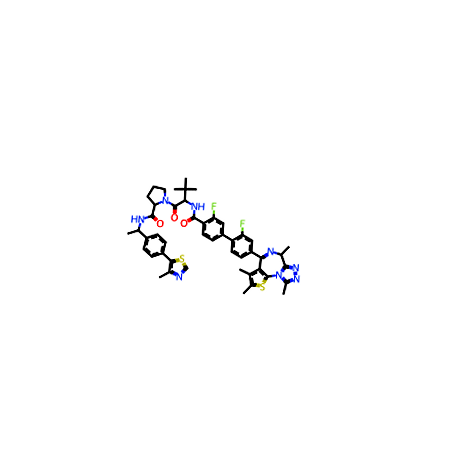 Cc1ncsc1-c1ccc(C(C)NC(=O)C2CCCN2C(=O)C(NC(=O)c2ccc(-c3ccc(C4=NC(C)c5nnc(C)n5-c5sc(C)c(C)c54)cc3F)cc2F)C(C)(C)C)cc1